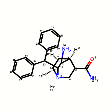 NC(=O)C1CN2CC[C@@H]1[C@H](N)[C@@H]2C(c1ccccc1)c1ccccc1.[Fe]